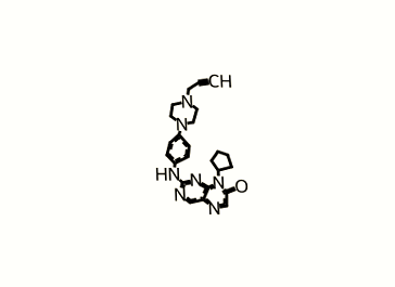 C#CCN1CCN(c2ccc(Nc3ncc4ncc(=O)n(C5CCCC5)c4n3)cc2)CC1